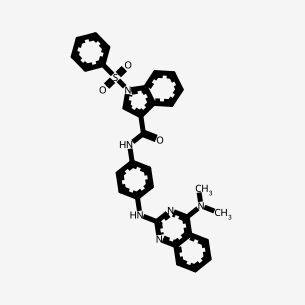 CN(C)c1nc(Nc2ccc(NC(=O)c3cn(S(=O)(=O)c4ccccc4)c4ccccc34)cc2)nc2ccccc12